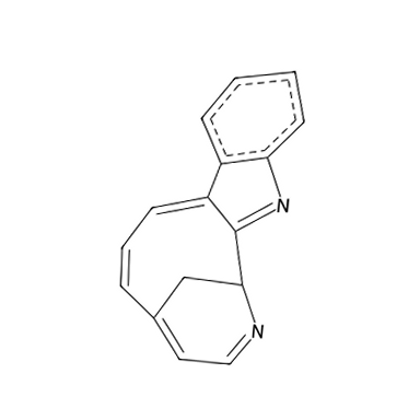 C1=CC2=CC=NC(C2)C2=Nc3ccccc3C2=C1